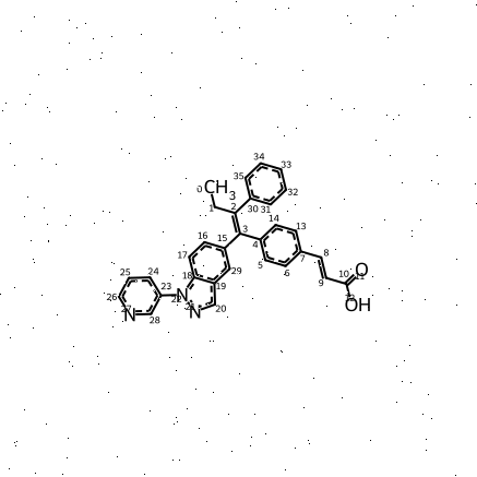 CC/C(=C(/c1ccc(/C=C/C(=O)O)cc1)c1ccc2c(cnn2-c2cccnc2)c1)c1ccccc1